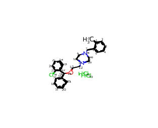 Cc1ccccc1CN1CCN(CCOC(c2ccccc2)c2ccccc2Cl)CC1.Cl.Cl